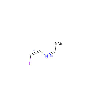 CN/C=N\C=C/I